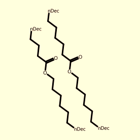 CCCCCCCCCCCCCCCCOC(=O)CCCCCCCCCCCCC.CCCCCCCCCCCCCCCCOC(=O)CCCCCCCCCCCCCCC